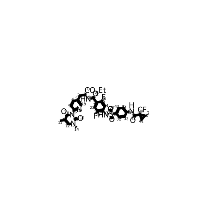 CCOC(=O)[C@H](Cc1ccc(-n2c(=O)c(C)cn(C)c2=O)nc1)NC(=O)c1cc(F)c(NS(=O)(=O)c2ccc(NC(=O)C3(C(F)(F)F)CC3)cc2)cc1F